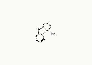 Nc1cccc2sc3cccnc3c12